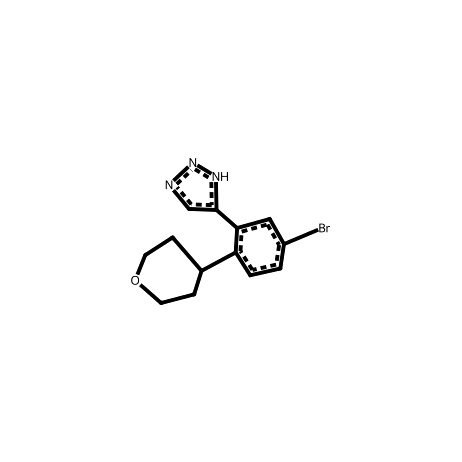 Brc1ccc(C2CCOCC2)c(-c2cnn[nH]2)c1